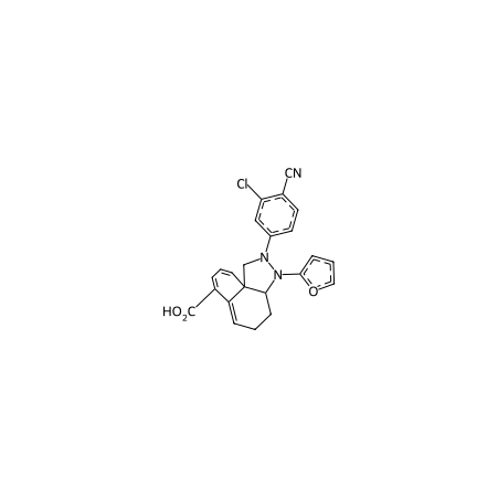 N#Cc1ccc(N2CC34C=CC=C(C(=O)O)C3=CCCC4N2c2ccco2)cc1Cl